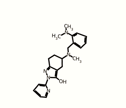 CN(C)c1ccccc1CN(C)C1CCc2nn(-c3ccccn3)c(O)c2C1